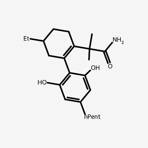 CCCCCc1cc(O)c(C2=C(C(C)(C)C(N)=O)CCC(CC)C2)c(O)c1